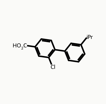 CC(C)c1cccc(-c2ccc(C(=O)O)cc2Cl)c1